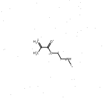 C=C(C)C(=O)OCCNI